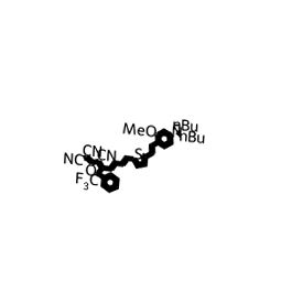 CCCCN(CCCC)c1ccc(/C=C/c2ccc(/C=C/C=C/C3=C(C#N)C(=C(C#N)C#N)OC3(c3ccccc3)C(F)(F)F)s2)c(OC)c1